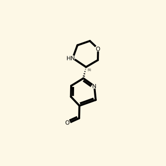 O=Cc1ccc([C@H]2COCCN2)nc1